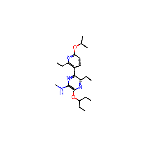 CCc1nc(OC(C)C)ccc1-c1nc(NC)c(OC(CC)CC)nc1CC